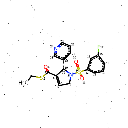 CCSC(=O)C1=CCN(S(=O)(=O)c2cccc(F)c2)[C@H]1c1cccnc1